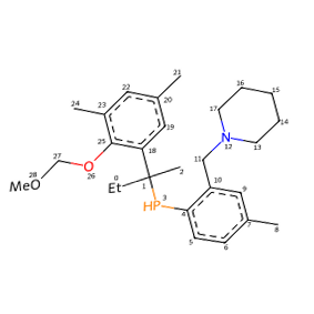 CCC(C)(Pc1ccc(C)cc1CN1CCCCC1)c1cc(C)cc(C)c1OCOC